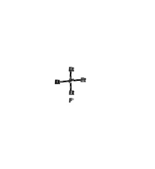 CC[P+](CC)(CC)CC.[F-]